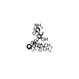 CC(C)OC(=O)C(C)NP(=O)(OC[C@H]1S[C@@H](n2ccc(N)nc2=O)[C@@H](F)[C@@H]1O)Oc1ccccc1